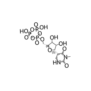 Cn1c(=O)[nH]cc([C@@H]2O[C@H](COP3(=O)OP(=O)(O)OP(=O)(O)O3)C(O)C2O)c1=O